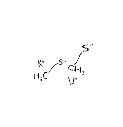 C[S-].C[S-].[K+].[Li+]